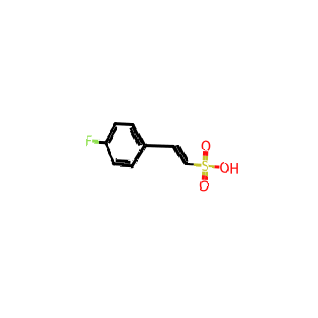 O=S(=O)(O)C=Cc1ccc(F)cc1